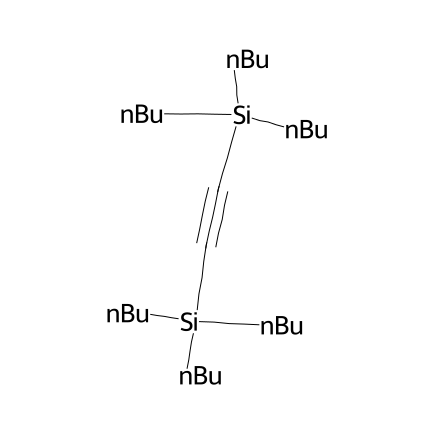 CCCC[Si](C#C[Si](CCCC)(CCCC)CCCC)(CCCC)CCCC